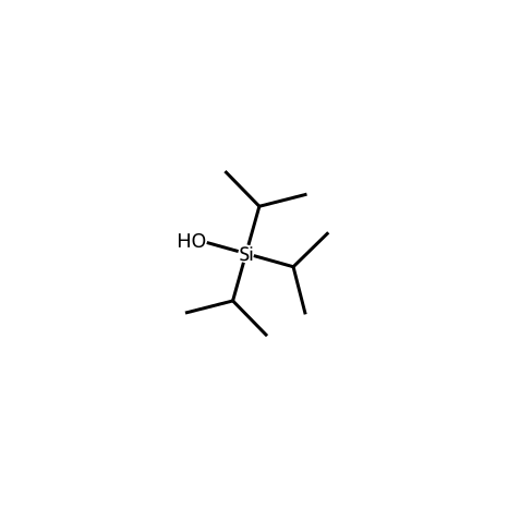 CC(C)[Si](O)(C(C)C)C(C)C